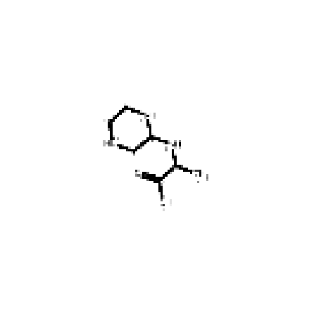 CC(NC1CNCCN1)C(=O)O